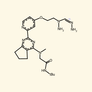 CN(CC(=O)NC(C)(C)C)c1nc(-c2cc(OCCN(N)/C=N\N)ccn2)nc2c1CCC2